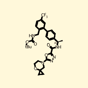 C[C@@H](NC(=O)c1nnc(N2CCOC3(CC3)C2)o1)c1ccc(-c2cc(C(F)(F)F)ccc2CNC(=O)OC(C)(C)C)cc1